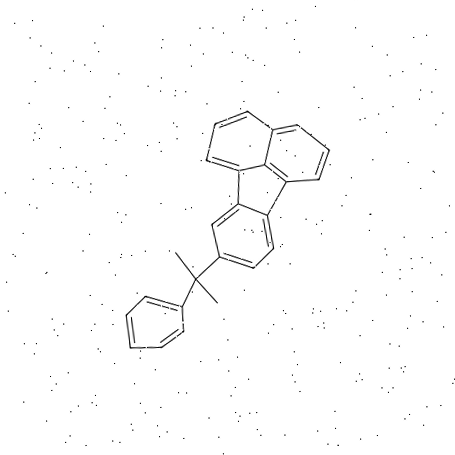 CC(C)(c1ccccc1)c1ccc2c(c1)-c1cccc3cccc-2c13